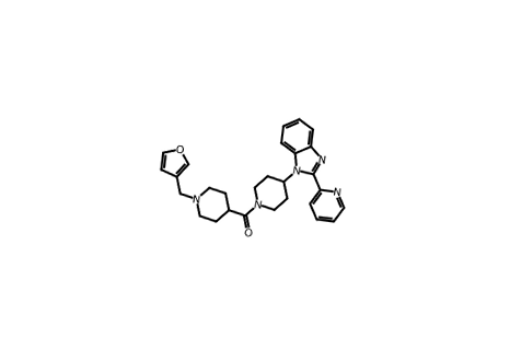 O=C(C1CCN(Cc2ccoc2)CC1)N1CCC(n2c(-c3ccccn3)nc3ccccc32)CC1